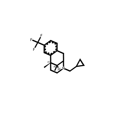 C[C@H]1C2Cc3ccc(C(F)(F)F)cc3[C@@]1(C)CCN2CC1CC1